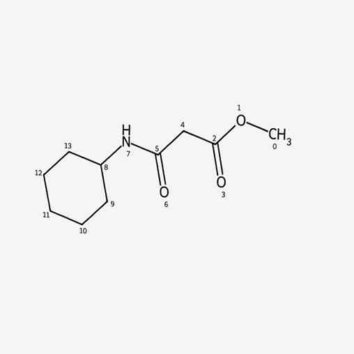 COC(=O)CC(=O)NC1CCCCC1